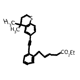 CCOC(=O)CCCCc1ccccc1C#Cc1ccc2c(c1)C(C)(C)CCS2